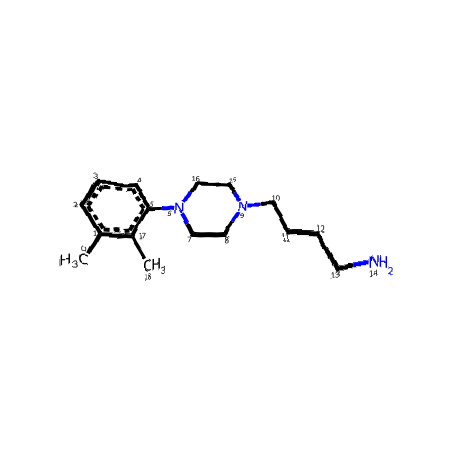 Cc1cccc(N2CCN(CCCCN)CC2)c1C